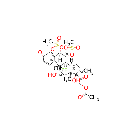 CC(=O)OCC(=O)[C@@]1(O)[C@@H](C)C[C@H]2[C@@H]3[C@@H](OS(C)(=O)=O)[C@@H](OS(C)(=O)=O)C4=CC(=O)C=C[C@]4(C)[C@@]3(F)[C@@H](O)C[C@@]21C